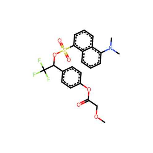 COCC(=O)Oc1ccc(C(OS(=O)(=O)c2cccc3c(N(C)C)cccc23)C(F)(F)F)cc1